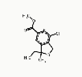 CCC1(C)OCc2c1cc(C(=O)OC)nc2Cl